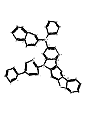 c1ccc(-c2cnc(-n3c4cc5sc6ccccc6c5cc4c4ncc(N(c5ccccc5)c5ccc6ccccc6c5)cc43)nc2)cc1